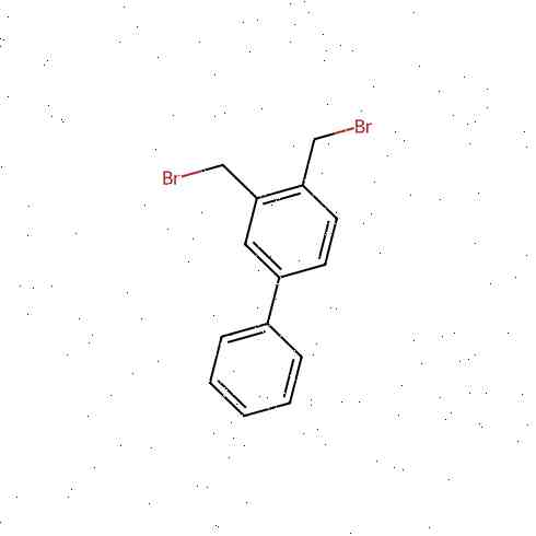 BrCc1ccc(-c2ccccc2)cc1CBr